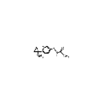 CC(=O)NCc1ccc(C2(N)CC2)nc1